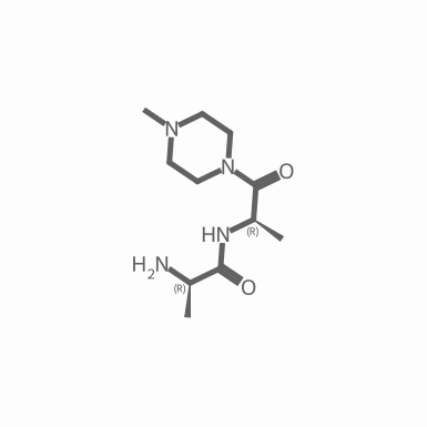 C[C@@H](N)C(=O)N[C@H](C)C(=O)N1CCN(C)CC1